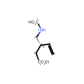 C=C[C@@H](CNC(=O)O)CC(=O)OCC